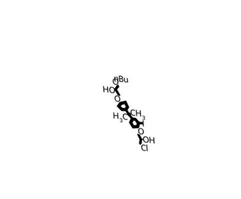 CCCCOC[C@@H](O)COc1ccc(C(C)(C)c2ccc(OC[C@@H](O)CCl)c(I)c2)cc1